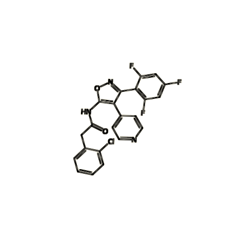 O=C(Cc1ccccc1Cl)Nc1onc(-c2c(F)cc(F)cc2F)c1-c1ccncc1